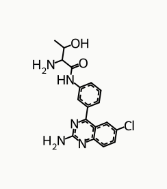 CC(O)C(N)C(=O)Nc1cccc(-c2nc(N)nc3ccc(Cl)cc23)c1